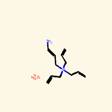 C=CC[N+](CC=C)(CC=C)CC=CN.O.[OH-]